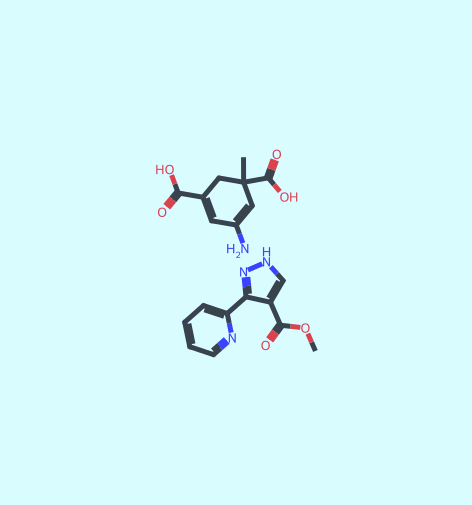 CC1(C(=O)O)C=C(N)C=C(C(=O)O)C1.COC(=O)c1c[nH]nc1-c1ccccn1